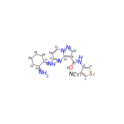 N#Cc1cscc1NC(=O)c1cnn2ccc(N[C@@H]3CCCC[C@@H]3N)nc12